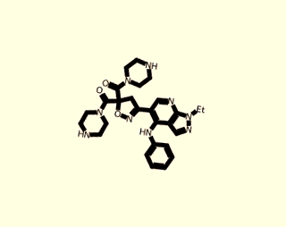 CCn1ncc2c(Nc3ccccc3)c(C3=NOC(C(=O)N4CCNCC4)(C(=O)N4CCNCC4)C3)cnc21